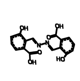 O=C(O)c1cccc(O)c1C=NN=Cc1c(O)cccc1C(=O)O